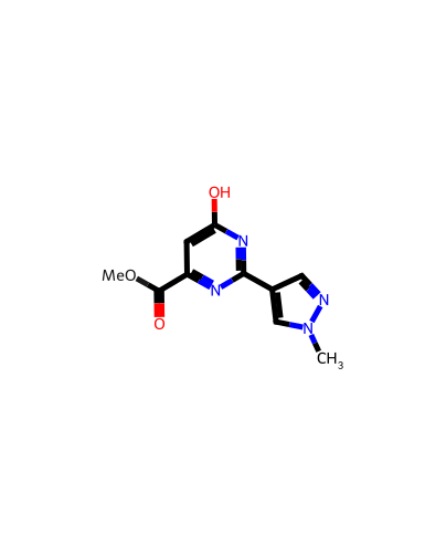 COC(=O)c1cc(O)nc(-c2cnn(C)c2)n1